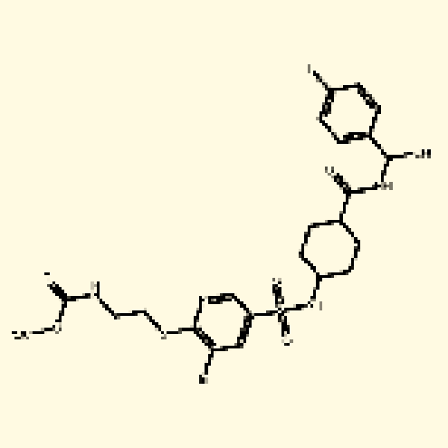 CC(NC(=O)C1CCC(NS(=O)(=O)c2cnc(SCCNC(=O)OC(C)(C)C)c(Br)c2)CC1)c1ccc(F)cc1